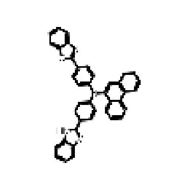 C1=Cc2c(cc(N(C3=CCC(C4Nc5ccccc5O4)C=C3)c3ccc(-c4nc5ccccc5o4)cc3)c3ccccc23)CC1